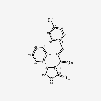 O=C(/C=C/c1ccc(Cl)cc1)N1C(=O)OC[C@@H]1c1ccccc1